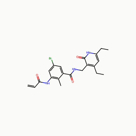 C=CC(=O)Nc1cc(Br)cc(C(=O)NCc2c(CC)cc(CC)[nH]c2=O)c1C